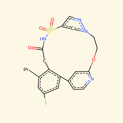 CC(C)c1cc(F)cc2c1CC(=O)NS(=O)(=O)c1cnn(c1)CCOc1cc-2ccn1